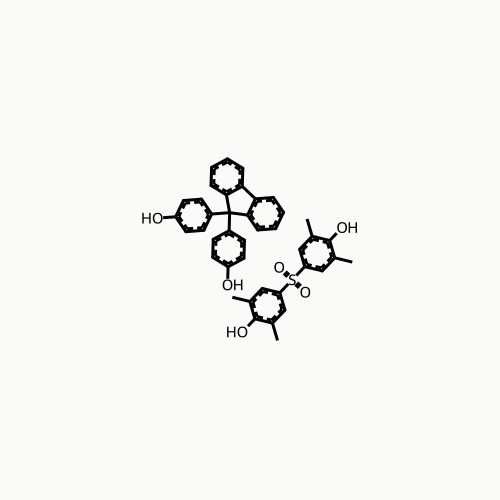 Cc1cc(S(=O)(=O)c2cc(C)c(O)c(C)c2)cc(C)c1O.Oc1ccc(C2(c3ccc(O)cc3)c3ccccc3-c3ccccc32)cc1